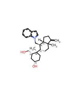 C=C1CC[C@H]2[C@H](Cn3ccc4ccccc43)[C@@H]([C@@]3(C)CC[C@H](O)C[C@@H]3CO)CCC12C